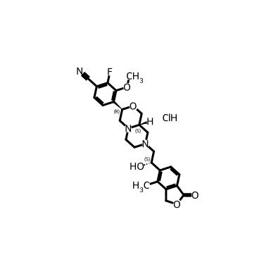 COc1c([C@@H]2CN3CCN(C[C@@H](O)c4ccc5c(c4C)COC5=O)C[C@H]3CO2)ccc(C#N)c1F.Cl